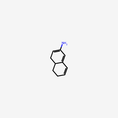 NC1=CCC2CCC=CC2=C1